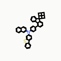 c1ccc2c(c1)-c1c(-c3ccc(N(c4ccc5ccccc5c4)c4ccc5c(c4)sc4ccccc45)cc3)cccc1C21C2CC3CC4CC1C342